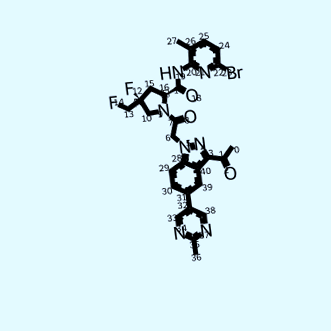 CC(=O)c1nn(CC(=O)N2C[C@@](F)(CF)C[C@H]2C(=O)Nc2nc(Br)ccc2C)c2ccc(-c3cnc(C)nc3)cc12